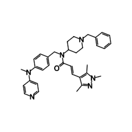 Cc1nn(C)c(C)c1/C=C/C(=O)N(Cc1ccc(N(C)c2ccncc2)cc1)C1CCN(Cc2ccccc2)CC1